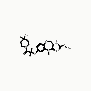 CN1C(=O)[C@@H](NC(=O)OC(C)(C)C)COc2ccc(OC(C)(C)C(=O)N3CCC(C)(O)CC3)cc21